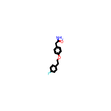 NC(=O)Cc1ccc(OCCc2ccc(F)cc2)cc1